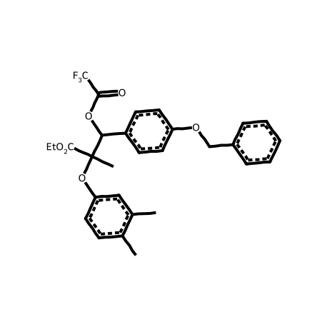 CCOC(=O)C(C)(Oc1ccc(C)c(C)c1)C(OC(=O)C(F)(F)F)c1ccc(OCc2ccccc2)cc1